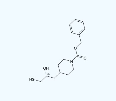 O=C(OCc1ccccc1)N1CCC(C[C@@H](O)CS)CC1